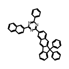 c1ccc(-c2nc(-c3ccc4ccccc4c3)nc(-c3ccc4cc5c(cc4c3)-c3ccccc3C5(c3ccccc3)c3ccccc3)n2)cc1